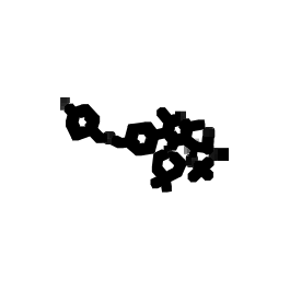 Cc1nc(C)c([C@H](OC(C)(C)C)C(=O)O)c(N2CCC(C)(C)CC2)c1-c1ccc(COCc2ccc(F)cc2)cc1